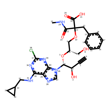 C#C[C@@H](O)[C@@H](O[C@@H](CO)COC(Cc1ccccc1)(C(=O)O)C(=O)NC)n1cnc2c(NCC3CC3)nc(Cl)nc21